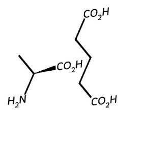 C[C@H](N)C(=O)O.O=C(O)CCCC(=O)O